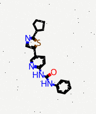 O=C(Nc1ccccc1)Nc1ccc(-c2cnc([C]3CCCC3)s2)cn1